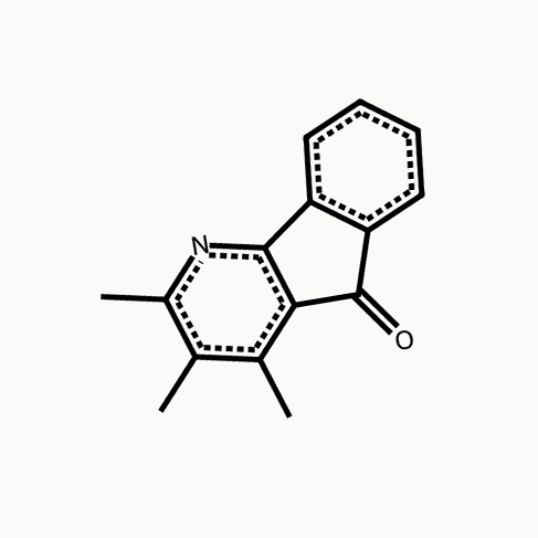 Cc1nc2c(c(C)c1C)C(=O)c1ccccc1-2